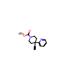 C#CC1(c2ccccn2)CCN(C(=O)OC(C)(C)C)CC1